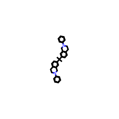 CC(C)(c1ccc2c(c1)CN(c1ccccc1)CC2)c1ccc2c(c1)CN(c1ccccc1)CC2